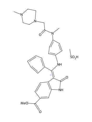 COC(=O)c1ccc2c(c1)NC(=O)/C2=C(\Nc1ccc(N(C)C(=O)CN2CCN(C)CC2)cc1)c1ccccc1.CS(=O)(=O)O